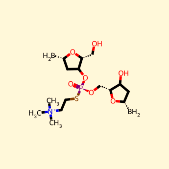 B[C@H]1CC(O)[C@@H](CO[P@@](=O)(OC2C[C@H](B)O[C@@H]2CO)SCC[N+](C)(C)C)O1